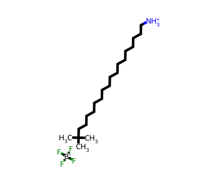 CC(C)(C)CCCCCCCCCCCCCCCCC[NH3+].F[B-](F)(F)F